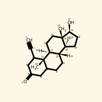 C#CC1CC(=O)CC2CC[C@@H]3[C@H](CC[C@]4(C)[C@@H](O)CC[C@@H]34)[C@@]12C